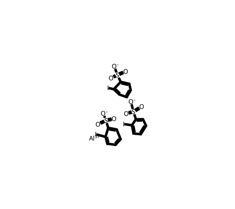 O=S(=O)([O-])c1ccccc1I.O=S(=O)([O-])c1ccccc1I.O=S(=O)([O-])c1ccccc1I.[Al+3]